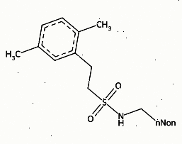 CCCCCCCCCCNS(=O)(=O)CCc1cc(C)ccc1C